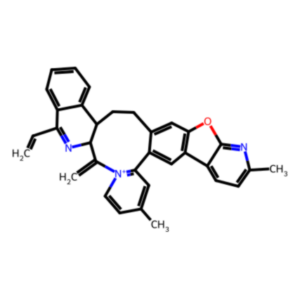 C=CC1=NC2C(=C)[n+]3ccc(C)cc3-c3cc4c(cc3CCC2c2ccccc21)oc1nc(C)ccc14